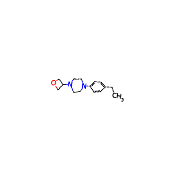 CCc1ccc(N2CCN(C3COC3)CC2)cc1